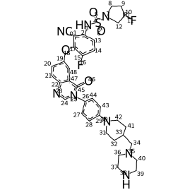 N#Cc1c(NS(=O)(=O)N2CC[C@@H](F)C2)ccc(F)c1Oc1ccc2ncn(-c3ccc(N4CCC(CN5CCNCC5)CC4)cc3)c(=O)c2c1